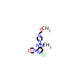 COCCN1CCN(c2nc3c(N4CCOCC4)nc(Cl)cc3n2C)CC1